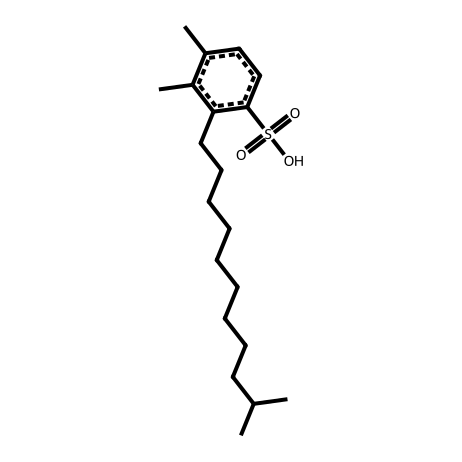 Cc1ccc(S(=O)(=O)O)c(CCCCCCCCCC(C)C)c1C